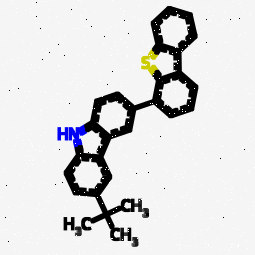 CC(C)(C)c1ccc2[nH]c3ccc(-c4cccc5c4sc4ccccc45)cc3c2c1